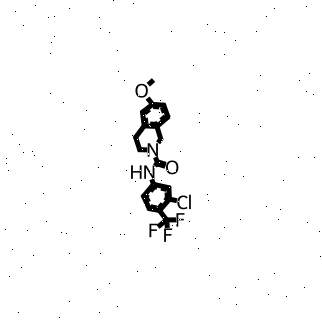 COc1ccc2c(c1)CCN(C(=O)Nc1ccc(C(F)(F)F)c(Cl)c1)C2